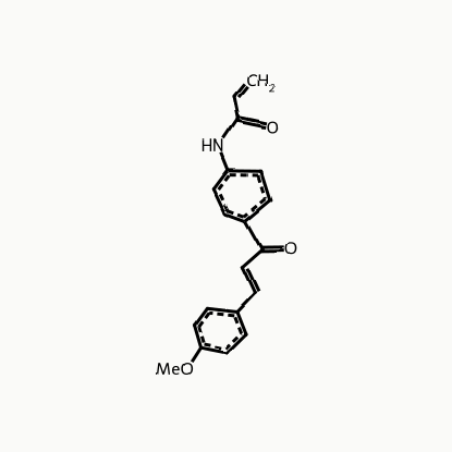 C=CC(=O)Nc1ccc(C(=O)C=Cc2ccc(OC)cc2)cc1